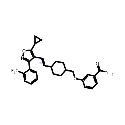 NC(=O)c1cccc(OCC2CCC(/C=C/c3c(-c4ccccc4C(F)(F)F)noc3C3CC3)CC2)c1